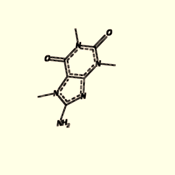 Cn1c(=O)c2c(nc(N)n2C)n(C)c1=O